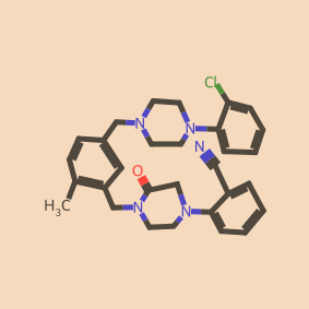 Cc1ccc(CN2CCN(c3ccccc3Cl)CC2)cc1CN1CCN(c2ccccc2C#N)CC1=O